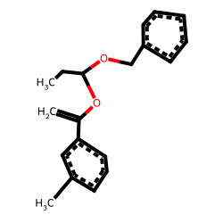 C=C(OC(CC)OCc1ccccc1)c1cccc(C)c1